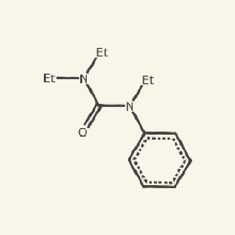 CCN(CC)C(=O)N(CC)c1ccccc1